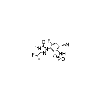 Cn1c(C(F)F)nn(-c2cc(NS(C)(=O)=O)c(C#N)cc2F)c1=O